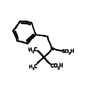 CC(C)(C(=O)O)N(Cc1ccccc1)S(=O)(=O)O